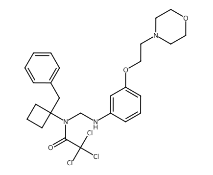 O=C(N(CNc1cccc(OCCN2CCOCC2)c1)C1(Cc2ccccc2)CCC1)C(Cl)(Cl)Cl